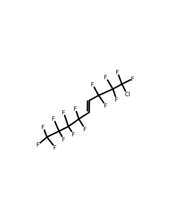 FC(F)(F)C(F)(F)C(F)(F)C(F)(F)C=CC(F)(F)C(F)(F)C(F)(F)Cl